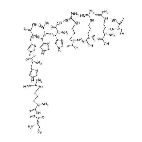 N=C(N)NCCC[C@H](N)C(=O)O.N=C(N)NCCC[C@H](N)C(=O)O.N=C(N)NCCC[C@H](N)C(=O)O.N=C(N)NCCC[C@H](N)C(=O)O.N[C@@H](CS)C(=O)O.N[C@@H](CS)C(=O)O.N[C@@H](Cc1c[nH]cn1)C(=O)O.N[C@@H](Cc1c[nH]cn1)C(=O)O.N[C@@H](Cc1c[nH]cn1)C(=O)O.N[C@@H](Cc1c[nH]cn1)C(=O)O